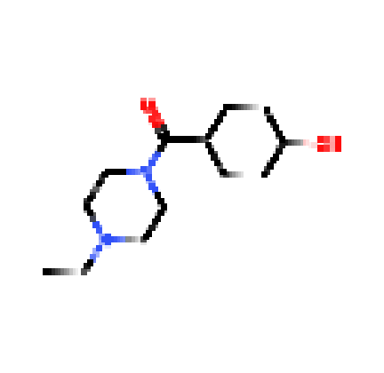 CCN1CCN(C(=O)C2CCC(O)CC2)CC1